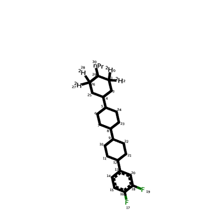 [2H]C1([2H])CC(C2CCC(C3CCC(c4ccc(F)c(F)c4)CC3)CC2)CC([2H])([2H])C1CCC